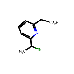 CC(Br)c1cccc(CC(=O)O)n1